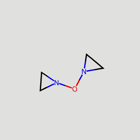 C1CN1ON1CC1